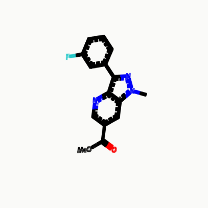 COC(=O)c1cnc2c(-c3cccc(F)c3)nn(C)c2c1